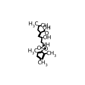 Cc1cc(C)c(S(=O)(=O)NC[C@@H](O)C=C(CC(C)C)C(=O)O)c(C)c1